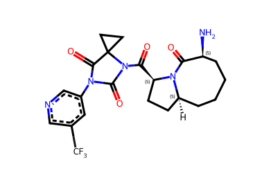 N[C@H]1CCCC[C@H]2CC[C@@H](C(=O)N3C(=O)N(c4cncc(C(F)(F)F)c4)C(=O)C34CC4)N2C1=O